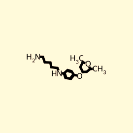 CC1CC(Oc2ccc(NCCCCCN)cc2)CC(C)O1